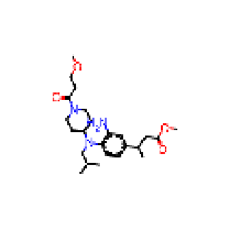 COCCC(=O)N1CCC(N(CC(C)C)c2ccc(C(C)CC(=O)OC)cc2N)CC1